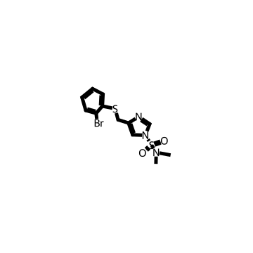 CN(C)S(=O)(=O)n1cnc(CSc2ccccc2Br)c1